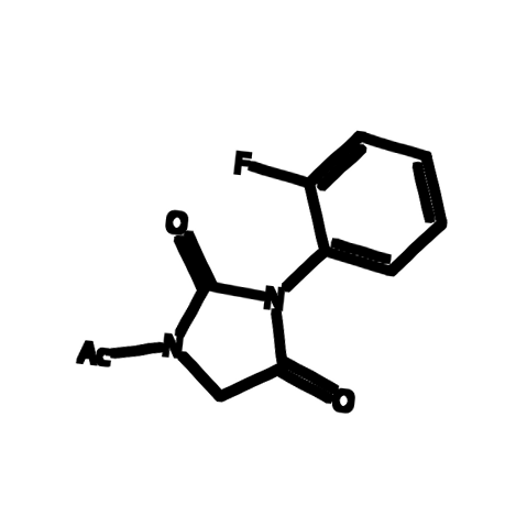 CC(=O)N1CC(=O)N(c2ccccc2F)C1=O